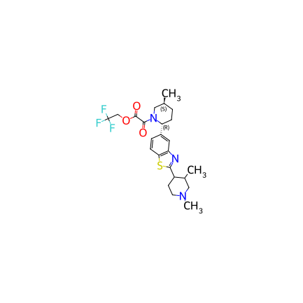 CC1CN(C)CCC1c1nc2cc([C@H]3CC[C@H](C)CN3C(=O)C(=O)OCC(F)(F)F)ccc2s1